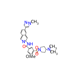 COc1ccc(C(=O)Nc2cc3cc(-c4cnn(C)c4)ccc3cn2)cc1S(=O)(=O)N1CCC(N(C)C)CC1